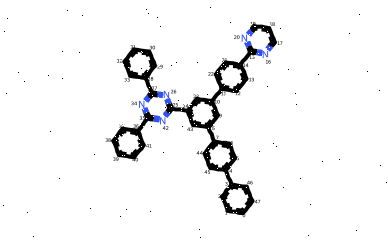 c1ccc(-c2ccc(-c3cc(-c4ccc(-c5ncccn5)cc4)cc(-c4nc(-c5ccccc5)nc(-c5ccccc5)n4)c3)cc2)cc1